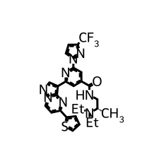 CCN(CC)[C@@H](C)CNC(=O)c1cc(-c2cnn3ccc(-c4cccs4)nc23)nc(-n2ccc(C(F)(F)F)n2)c1